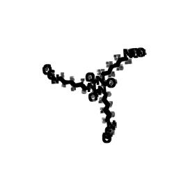 O=C=NCCCCCCn1c(=O)n(CCCCCCN=C=O)c(=O)n(CCCCCCN=C=O)c1=O